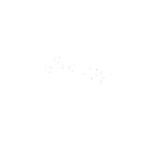 O=c1[nH]c2c(O)ccc(C(O)C(O)NCCc3cccc(CNCC(c4ccccc4)c4ccccc4)c3)c2s1